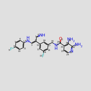 N=C/C(=C\Nc1ccc(F)cc1)c1cc(F)cc(CNC(=O)c2ccnc(N)c2N)c1